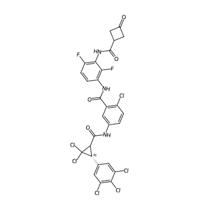 O=C1CC(C(=O)Nc2c(F)ccc(NC(=O)c3cc(NC(=O)C4[C@H](c5cc(Cl)c(Cl)c(Cl)c5)C4(Cl)Cl)ccc3Cl)c2F)C1